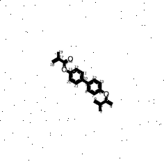 C=C(C)C(=C)Oc1ccc(-c2ccc(OC(=O)C(=C)C)cc2)cc1